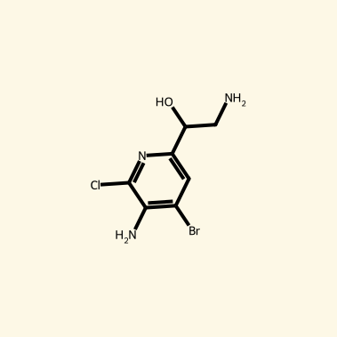 NCC(O)c1cc(Br)c(N)c(Cl)n1